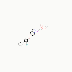 Cc1c(OCc2ccc(C3CCCCC3)c(C(F)(F)F)c2)ccc2c1CCN2C(=O)CCC(=O)OC(C)(C)C